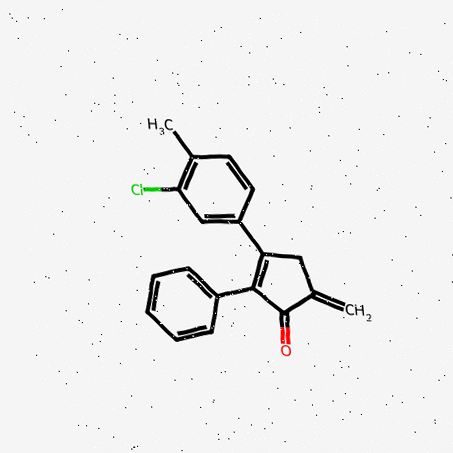 C=C1CC(c2ccc(C)c(Cl)c2)=C(c2ccccc2)C1=O